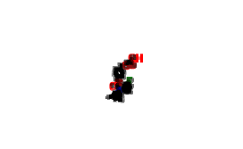 Cc1cc(C)cc(N(C(=O)OC[C@H]2CC[C@H](COCC(=O)O)CC2)c2cccc(F)c2)c1